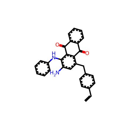 C=Cc1ccc(Cc2cc(N)c(Nc3ccccc3)c3c2C(=O)c2ccccc2C3=O)cc1